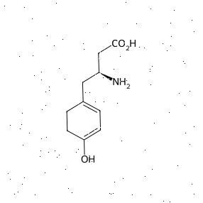 N[C@H](CC(=O)O)CC1=CC=C(O)CC1